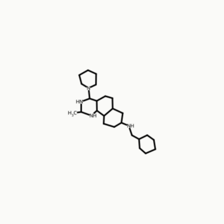 CC1NC2C3CCC(NCC4CCCCC4)CC3CCC2C(N2CCCCC2)N1